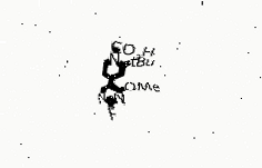 COc1nc(F)ncc1C1=CC(C(C)(C)C)N(C(=O)O)CC1